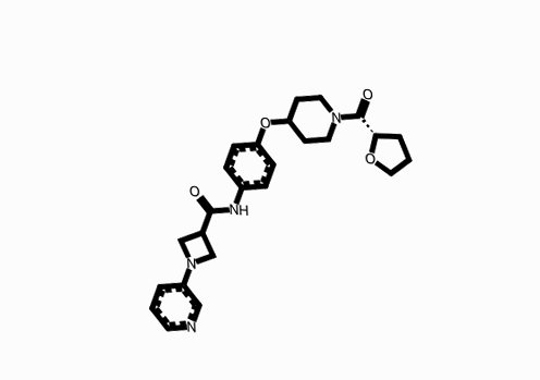 O=C(Nc1ccc(OC2CCN(C(=O)[C@@H]3CCCO3)CC2)cc1)C1CN(c2cccnc2)C1